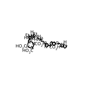 CCC(NC(=O)CN1CCN(CC(=O)O)CCN(CC(=O)O)CCN(CC(=O)O)CC1)C(=O)NC(CC)C(=O)NCCNC(=O)CCCOc1cncc(C(C(=O)O)n2ccc3cc(OCCc4ccc5c(n4)NCCC5)ccc32)c1